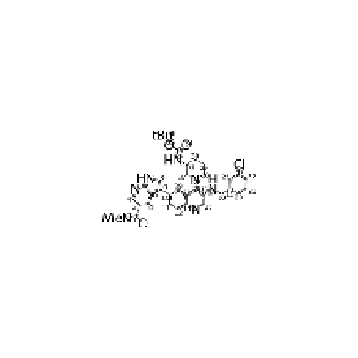 CNC(=O)c1cnc2[nH]cc(-c3ccc4ncc(NCc5cccc(Cl)c5)c(N5CCC[C@H](NC(=O)OC(C)(C)C)C5)c4c3)c2c1